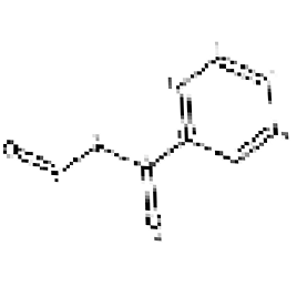 O=C[CH]C(=O)c1ccccc1